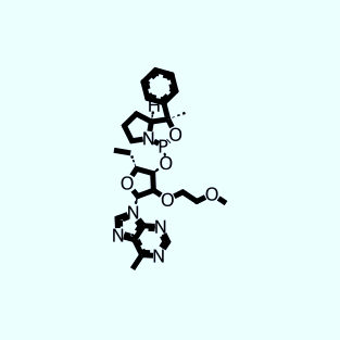 CC[C@H]1O[C@@H](n2cnc3c(C)ncnc32)C(OCCOC)[C@H]1O[P@@]1O[C@](C)(c2ccccc2)[C@@H]2CCCN21